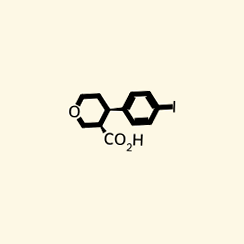 O=C(O)[C@H]1COCC[C@H]1c1ccc(I)cc1